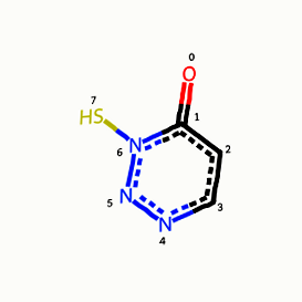 O=c1ccnnn1S